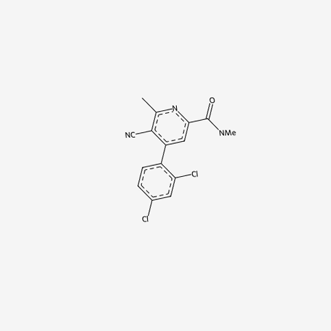 CNC(=O)c1cc(-c2ccc(Cl)cc2Cl)c(C#N)c(C)n1